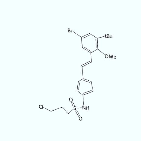 COc1c(/C=C/c2ccc(NS(=O)(=O)CCCCl)cc2)cc(Br)cc1C(C)(C)C